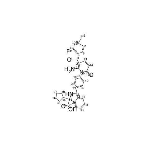 Nc1c(C(=O)c2ccc(F)cc2F)ccc(=O)n1-c1ccc(CNC(C(=O)O)(c2ccccc2)C2CCCC2)cc1